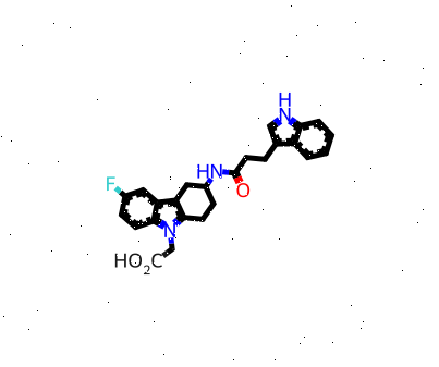 O=C(O)Cn1c2c(c3cc(F)ccc31)CC(NC(=O)CCc1c[nH]c3ccccc13)CC2